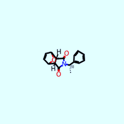 C[C@@H](c1ccccc1)N1C(=O)[C@@H]2C3C=CC(O3)[C@@H]2C1=O